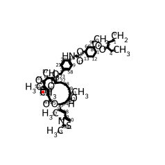 C=CCC(CC)OO[C@]1(CC)CCCC(OC(=O)Nc2ccc(CO[C@H]3[C@@H]4CCC[C@@]5(C)O[C@H]5C[C@@H](/C(C)=C/c5csc(C)n5)OC(=O)C[C@H](O4)C(C)(C)C(=O)[C@@H]3C)cc2)C1